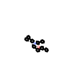 c1ccc(-c2ccc(N(c3ccc(-c4cccc5ccccc45)cc3)c3cccc(-c4cccc5c4oc4ccc(-c6ccccc6)cc45)c3)cc2)cc1